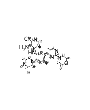 C[C@H]1CN(c2nccc(-c3cc(Nc4ncnc(Cl)c4N)c(N4CCN(C)[C@@H](C)C4)cc3F)n2)CCO1